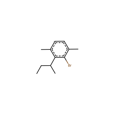 CCC(C)c1c(C)[c]cc(C)c1Br